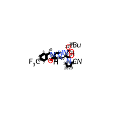 C[C@@H](c1ccc(C(F)(F)F)cc1)N1C(=O)[C@@H]2CC1CN2C[C@H](NC(=O)OC(C)(C)C)C(=O)N1CCC[C@H]1C#N